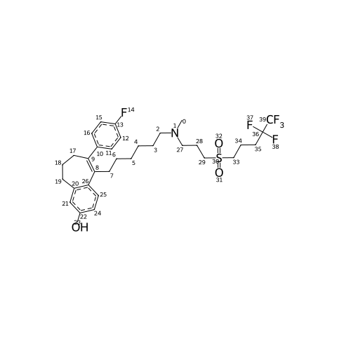 CN(CCCCCCC1=C(c2ccc(F)cc2)CCCc2cc(O)ccc21)CCCS(=O)(=O)CCCC(F)(F)C(F)(F)F